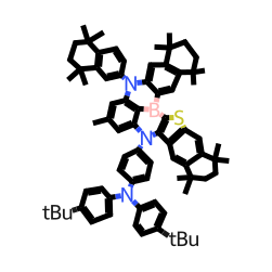 Cc1cc2c3c(c1)N(c1ccc(N(c4ccc(C(C)(C)C)cc4)c4ccc(C(C)(C)C)cc4)cc1)c1c(sc4cc5c(cc14)C(C)(C)CCC5(C)C)B3c1cc3c(cc1N2c1ccc2c(c1)C(C)(C)CCC2(C)C)C(C)(C)CCC3(C)C